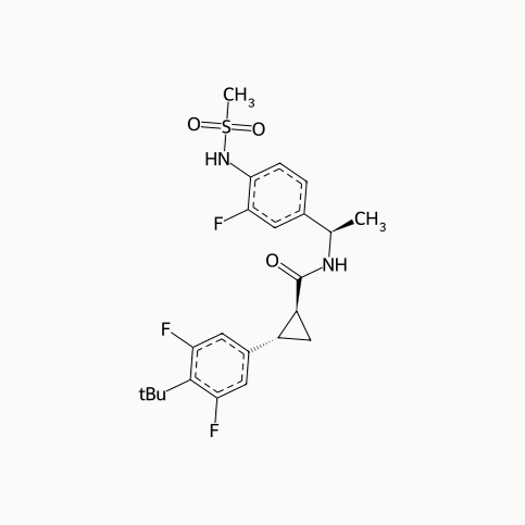 C[C@@H](NC(=O)[C@H]1C[C@@H]1c1cc(F)c(C(C)(C)C)c(F)c1)c1ccc(NS(C)(=O)=O)c(F)c1